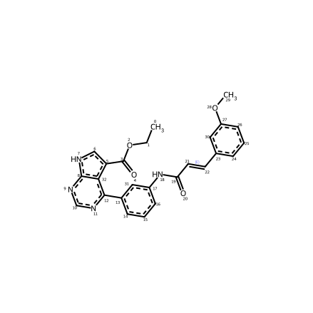 CCOC(=O)c1c[nH]c2ncnc(-c3cccc(NC(=O)/C=C/c4cccc(OC)c4)c3)c12